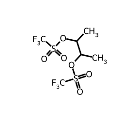 CC(OS(=O)(=O)C(F)(F)F)C(C)OS(=O)(=O)C(F)(F)F